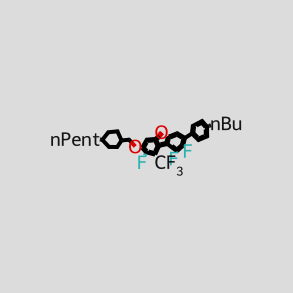 CCCCCC1CCC(COc2cc3oc4cc(-c5ccc(CCCC)cc5)c(F)c(F)c4c3c(C(F)(F)F)c2F)CC1